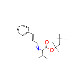 CC(C)C(/N=C/C=C/c1ccccc1)C(=O)OC(C)(C)CC(C)(C)C